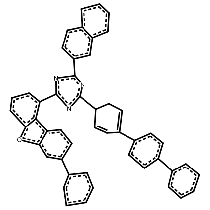 C1=CC(c2nc(-c3ccc4ccccc4c3)nc(-c3cccc4oc5cc(-c6ccccc6)ccc5c34)n2)CC=C1c1ccc(-c2ccccc2)cc1